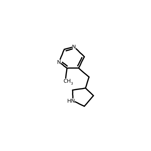 Cc1ncncc1CC1CCNC1